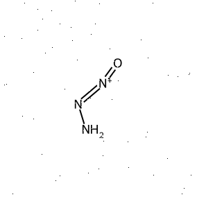 NN=[N+]=O